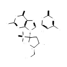 Nc1cc[nH]c(=O)n1.Nc1nc2c(ncn2[C@]2(P(=O)(O)O)O[C@H](CO)[C@@H](O)[C@H]2O)c(=O)[nH]1